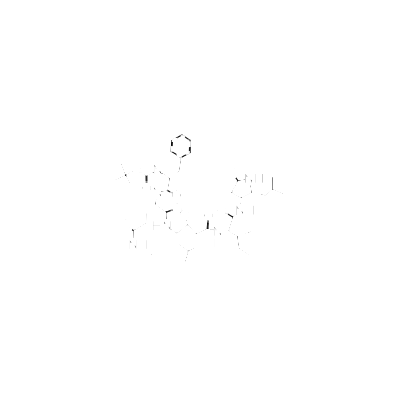 CC[C@H](C)[C@H](NC(=O)C[C@H](O)[C@H](CC(C)C)NC(=O)[C@H](CCC(N)=O)NC(=O)[C@H](Cc1ccccc1)NC(=O)OC(C)(C)C)C(=O)N[C@H]1CC(=O)N[C@H]1CC(C)C